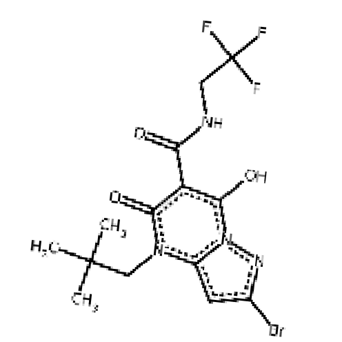 CC(C)(C)Cn1c(=O)c(C(=O)NCC(F)(F)F)c(O)n2nc(Br)cc12